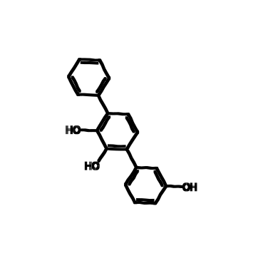 Oc1cccc(-c2ccc(-c3ccccc3)c(O)c2O)c1